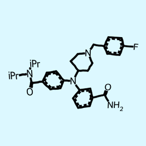 CC(C)N(C(=O)c1ccc(N(c2cccc(C(N)=O)c2)C2CCN(Cc3ccc(F)cc3)CC2)cc1)C(C)C